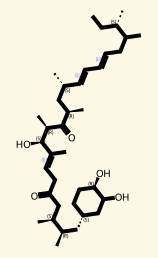 CC[C@H](C)C(C)C/C=C/C=C/[C@@H](C)C[C@@H](C)C(=O)[C@H](C)[C@H](O)/C(C)=C/CC(=O)C[C@H](C)[C@H](C)C[C@@H]1CC[C@@H](O)C(O)C1